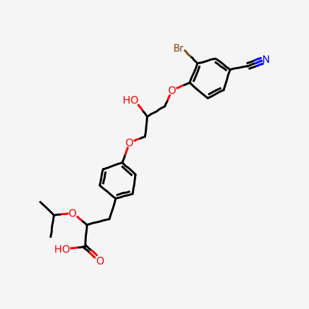 CC(C)OC(Cc1ccc(OCC(O)COc2ccc(C#N)cc2Br)cc1)C(=O)O